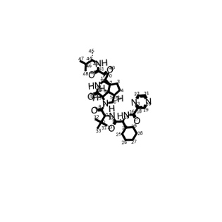 CCC12CC[C@H]3CN(C(=O)[C@@H](NC(=O)[C@@H](NC(=O)c4cnccn4)C4CCCCC4)C(C)(C)C)[C@H](C(=O)N[C@@H]1C(=O)C(=O)N[C@@H](C)C(C)C)[C@H]32